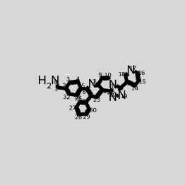 NCc1ccc(-c2nc3ccn4c(-c5cccnc5)nnc4c3cc2-c2ccccc2)cc1